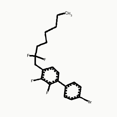 CCCCCCC(F)(F)Cc1ccc(-c2ccc(Br)cc2)c(F)c1F